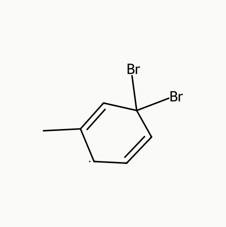 CC1=CC(Br)(Br)C=C[CH]1